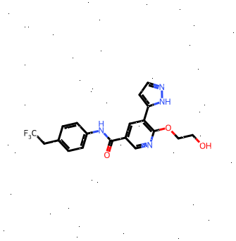 O=C(Nc1ccc(CC(F)(F)F)cc1)c1cnc(OCCO)c(-c2ccn[nH]2)c1